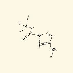 CNc1ccn(C(=O)OC(C)(C)C)c1